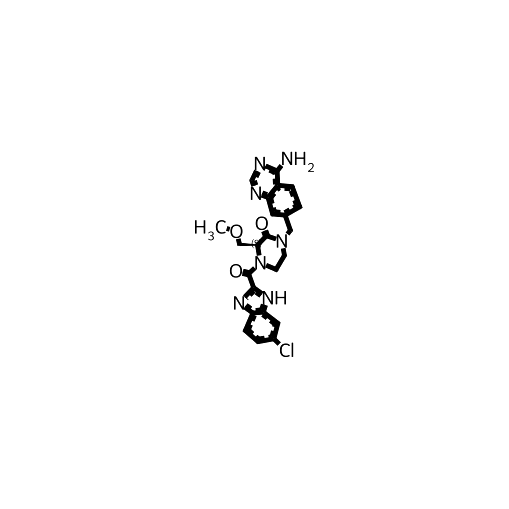 COC[C@H]1C(=O)N(Cc2ccc3c(N)ncnc3c2)CCN1C(=O)c1nc2ccc(Cl)cc2[nH]1